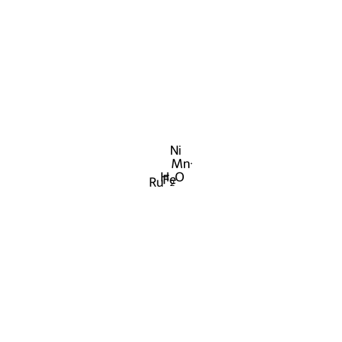 O.[Fe].[Mn].[Ni].[Ru]